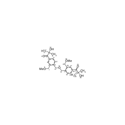 COCc1cc(C(=O)C(C)(C)O)ccc1COCc1ccc(C(=O)C(C)(C)O)cc1COC